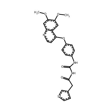 COc1cc2nccc(Oc3ccc(NC(=O)NC(=O)Cc4ccsc4)cc3)c2cc1OC